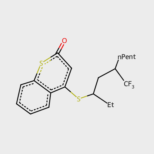 CCCCCC(CC(CC)Sc1cc(=O)sc2ccccc12)C(F)(F)F